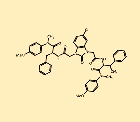 COc1ccc(N(C)C(=O)[C@H](Cc2ccccc2)NC(=O)Cn2c(=O)n(CC(=O)N[C@H](C(=O)N(C)c3ccc(OC)cc3)[C@H](C)c3ccccc3)c3cc(Cl)ccc32)cc1